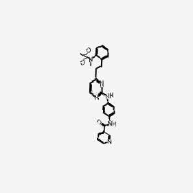 CN(c1ccccc1CCc1ccnc(Nc2ccc(NC(=O)c3cccnc3)cc2)n1)S(C)(=O)=O